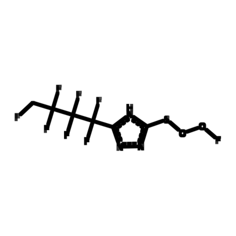 FCC(F)(F)C(F)(F)C(F)(F)c1nnc(SOOF)[nH]1